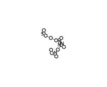 c1ccc2c(c1)ccc1c3ccccc3n(-c3ccc(-c4nc(-n5c6ccccc6c6cc(-c7ccc(-c8ccc9sc%10ccccc%10c9c8)cc7)ccc65)nc5ccccc45)cc3)c21